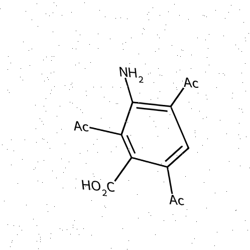 CC(=O)c1cc(C(C)=O)c(C(=O)O)c(C(C)=O)c1N